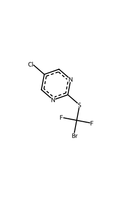 FC(F)(Br)Sc1ncc(Cl)cn1